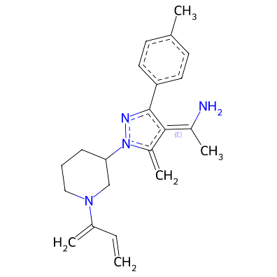 C=CC(=C)N1CCCC(n2nc(-c3ccc(C)cc3)/c(=C(/C)N)c2=C)C1